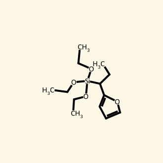 CCO[Si](OCC)(OCC)C(CC)c1ccco1